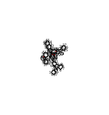 c1ccc(-n2c3ccccc3c3cc(-c4nc(-c5ccc6c(c5)sc5ccccc56)nc(-c5c(-n6c7ccccc7c7cc8ccccc8cc76)ccc6oc7ccccc7c56)n4)ccc32)cc1